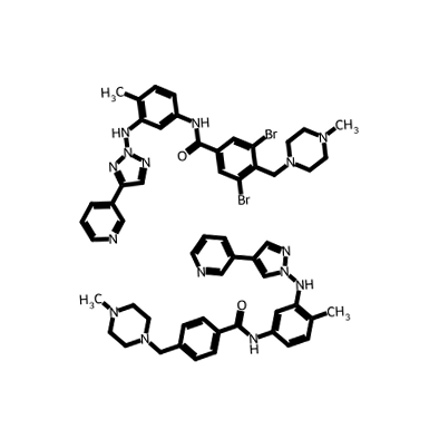 Cc1ccc(NC(=O)c2cc(Br)c(CN3CCN(C)CC3)c(Br)c2)cc1Nn1ncc(-c2cccnc2)n1.Cc1ccc(NC(=O)c2ccc(CN3CCN(C)CC3)cc2)cc1Nn1cc(-c2cccnc2)cn1